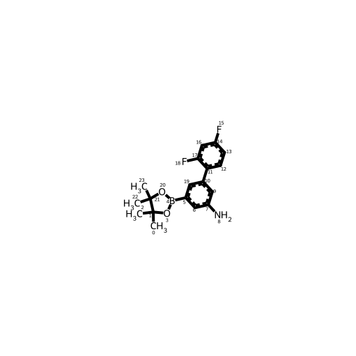 CC1(C)OB(c2cc(N)cc(-c3ccc(F)cc3F)c2)OC1(C)C